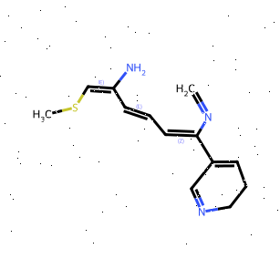 C=N\C(=C/C=C/C(N)=C\SC)C1=CCCN=C1